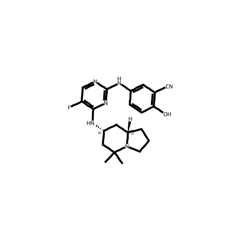 CC1(C)C[C@H](Nc2nc(Nc3ccc(O)c(C#N)c3)ncc2F)C[C@@H]2CCCN21